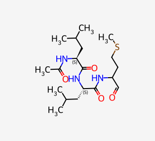 CSCCC(C=O)NC(=O)[C@H](CC(C)C)NC(=O)[C@H](CC(C)C)NC(C)=O